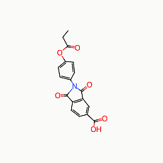 CCC(=O)Oc1ccc(N2C(=O)c3ccc(C(=O)O)cc3C2=O)cc1